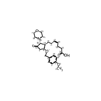 COc1ccc(CO[C@H]2CC(=O)[C@H](N3CCOCC3)[C@H]2CC/C=C\CCC(=O)O)cc1